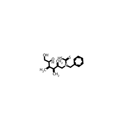 C=C(CN(Cc1ccccc1)C(=S)S)C(=C)C(=C)C(O)CO